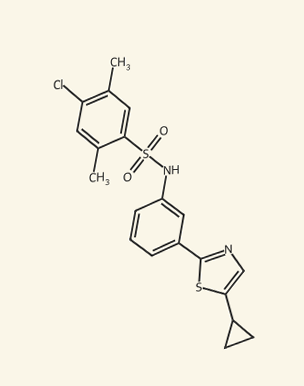 Cc1cc(S(=O)(=O)Nc2cccc(-c3ncc(C4CC4)s3)c2)c(C)cc1Cl